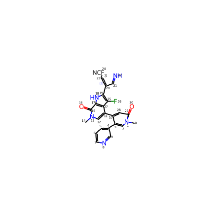 Cn1cc(-c2cccnc2)c(-c2cn(C)c(=O)c3[nH]c(/C(C=N)=C/NC(F)(F)F)c(F)c23)cc1=O